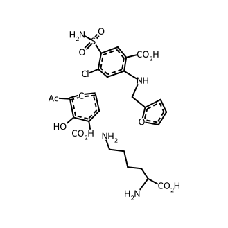 CC(=O)c1cccc(C(=O)O)c1O.NCCCCC(N)C(=O)O.NS(=O)(=O)c1cc(C(=O)O)c(NCc2ccco2)cc1Cl